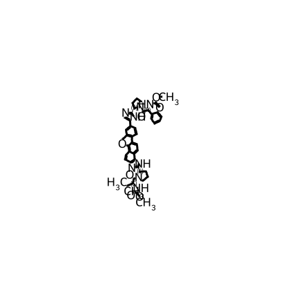 COC(=O)N[C@H](C(=O)N1CCC[C@H]1c1nc2ccc3c4c(ccc3c2[nH]1)-c1ccc(-c2cnc([C@@H]3CCCN3C(=O)[C@H](NC(=O)OC)c3ccccc3)[nH]2)cc1CO4)C(C)C